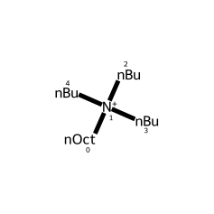 CCCCCCCC[N+](CCCC)(CCCC)CCCC